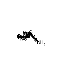 NCCOCCOCCn1c(=O)[nH]c2cc(C(=O)Nc3nnc(-c4ccco4)s3)ccc21